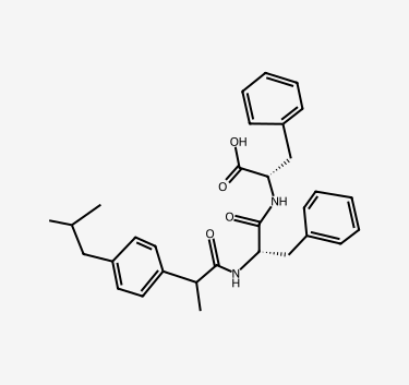 CC(C)Cc1ccc(C(C)C(=O)N[C@@H](Cc2ccccc2)C(=O)N[C@@H](Cc2ccccc2)C(=O)O)cc1